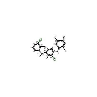 Cc1cc(C)c(Cc2ccc(C(C)c3cccc(Cl)c3C)c(C)c2Cl)cc1C